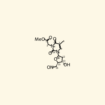 COC(=O)Cn1c(=O)c(C)cn(C2C[C@H](O)[C@@H](CN=O)O2)c1=O